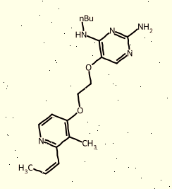 C/C=C\c1nccc(OCCOc2cnc(N)nc2NCCCC)c1C